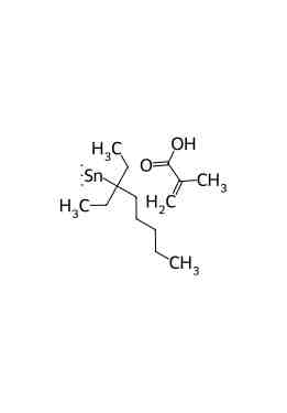 C=C(C)C(=O)O.CCCCC[C]([Sn])(CC)CC